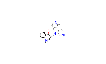 Cc1cc(CN(Cc2cn(C)c3ccccc3c2=O)[C@H]2CCCNC2)ccn1